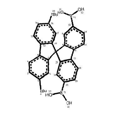 CC(C)(C)c1ccc2c(c1)C1(c3cc(B(O)O)ccc3-c3ccc(B(O)O)cc31)c1cc(C(C)(C)C)ccc1-2